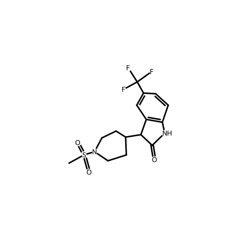 CS(=O)(=O)N1CCC(C2C(=O)Nc3ccc(C(F)(F)F)cc32)CC1